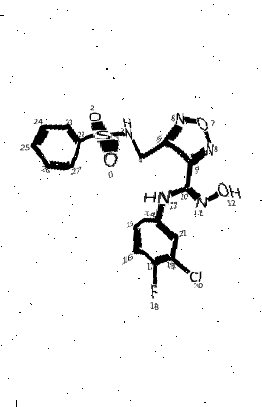 O=S(=O)(NCc1nonc1C(=NO)Nc1ccc(F)c(Cl)c1)c1ccccc1